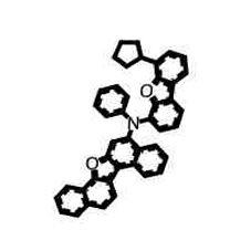 c1ccc(N(c2cc3oc4c5ccccc5ccc4c3c3ccccc23)c2cccc3c2oc2c(C4CCCC4)cccc23)cc1